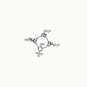 O=S(=O)([O-])c1cc2c(O)c(c1)Cc1cc(S(=O)(=O)O)cc(c1O)Cc1cc(S(=O)(=O)O)cc(c1O)Cc1cc(S(=O)(=O)O)cc(c1O)C2.[Na+]